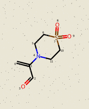 C=C(C=O)N1CCS(=O)(=O)CC1